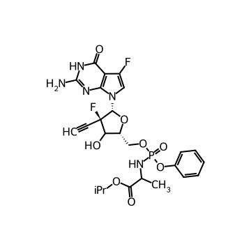 C#C[C@@]1(F)C(O)[C@@H](COP(=O)(NC(C)C(=O)OC(C)C)Oc2ccccc2)O[C@H]1n1cc(F)c2c(=O)[nH]c(N)nc21